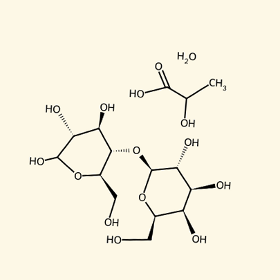 CC(O)C(=O)O.O.OC[C@H]1O[C@@H](O[C@H]2[C@H](O)[C@@H](O)C(O)O[C@@H]2CO)[C@H](O)[C@@H](O)[C@H]1O